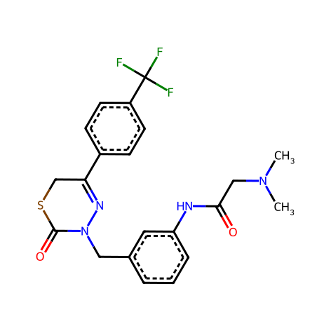 CN(C)CC(=O)Nc1cccc(CN2N=C(c3ccc(C(F)(F)F)cc3)CSC2=O)c1